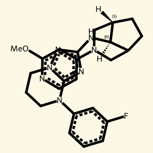 COc1cc(N2CC3CC[C@@H](C2)[C@@H]3Nc2nc3n(n2)CCCN3c2cccc(F)c2)ccn1